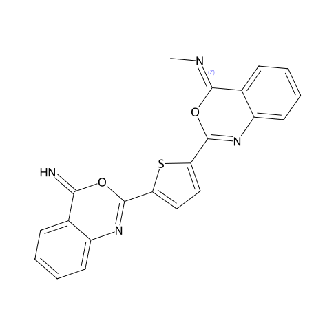 C/N=c1\oc(-c2ccc(-c3nc4ccccc4c(=N)o3)s2)nc2ccccc12